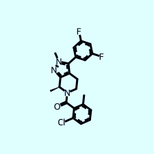 Cc1cccc(Cl)c1C(=O)N1CCc2c(nn(C)c2-c2cc(F)cc(F)c2)[C@@H]1C